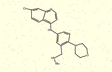 CC(C)(C)NCc1cc(Nc2ccnc3cc(Cl)ccc23)ccc1N1CCOCC1